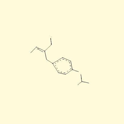 CC(C)Oc1ccc(C/C(=C\F)CN)cc1